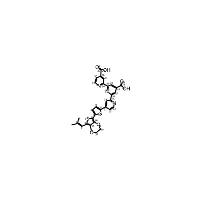 CC(C)=Cc1sc(-c2ccc(-c3ccnc(-c4cc(C(=O)O)cc(-c5cc(C(=O)O)ccn5)n4)c3)s2)c2c1OCCO2